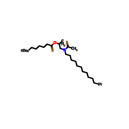 CCCCCCCCCCCCCCCC(=S)OC(C)CN(CCCCCCCCCCCC(C)C)C(C)=S